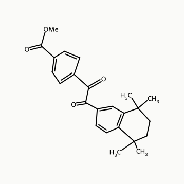 COC(=O)c1ccc(C(=O)C(=O)c2ccc3c(c2)C(C)(C)CCC3(C)C)cc1